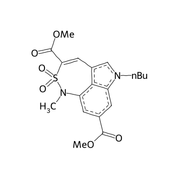 CCCCn1cc2c3c(cc(C(=O)OC)cc31)N(C)S(=O)(=O)C(C(=O)OC)=C2